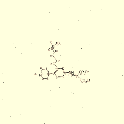 CCOC(=O)C(=CNc1ccc(N2CCN(C)CC2)c(OCCO[Si](C)(C)C(C)(C)C)c1)C(=O)OCC